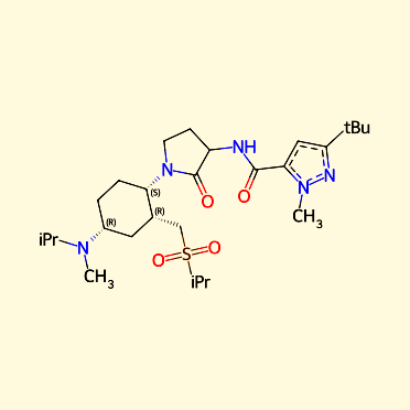 CC(C)N(C)[C@@H]1CC[C@H](N2CCC(NC(=O)c3cc(C(C)(C)C)nn3C)C2=O)[C@H](CS(=O)(=O)C(C)C)C1